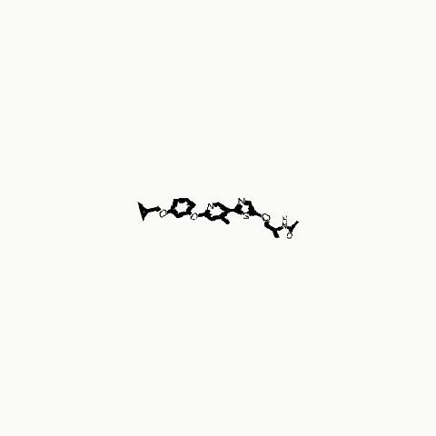 CC(=O)NC(C)COc1cnc(-c2cnc(Oc3cccc(OCC4CC4)c3)cc2C)s1